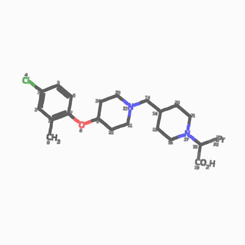 Cc1cc(Cl)ccc1OC1CCN(CC2CCN(C(C(=O)O)C(C)C)CC2)CC1